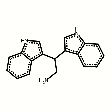 NCC(c1c[nH]c2ccccc12)c1c[nH]c2ccccc12